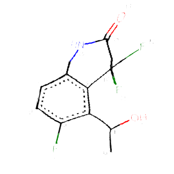 CC(O)c1c(F)ccc2c1C(F)(F)C(=O)N2